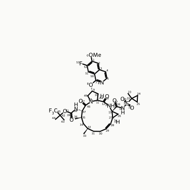 COc1cc2ccnc(O[C@@H]3C[C@H]4C(=O)N[C@]5(C(=O)NS(=O)(=O)C6(C)CC6)C[C@H]5/C=C\CC[C@@H](C)C[C@@H](C)[C@H](NC(=O)OC(C)(C)C(F)(F)F)C(=O)N4C3)c2cc1F